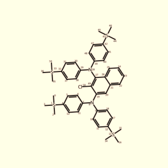 CS(C)(C)c1ccc(N(c2ccc(S(C)(C)C)cc2)c2cc3ccccc3c(N(c3ccc(S(C)(C)C)cc3)c3ccc(S(C)(C)C)cc3)c2Cl)cc1